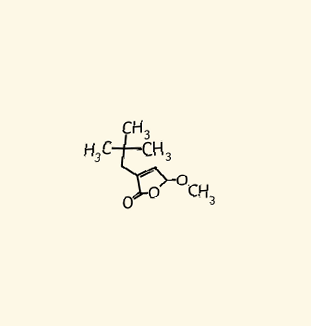 COC1C=C(CC(C)(C)C)C(=O)O1